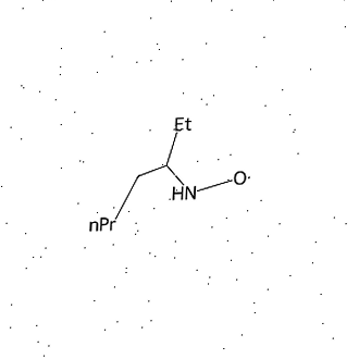 CCCCC(CC)N[O]